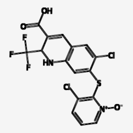 O=C(O)C1=Cc2cc(Cl)c(Sc3c(Cl)ccc[n+]3[O-])cc2NC1C(F)(F)F